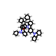 c1ccc(-n2c3ccccc3c3c(-n4c5ccc(-n6c7ccccc7c7ccccc76)cc5c5cccc([Si](c6ccccc6)(c6ccccc6)c6ccccc6)c54)cccc32)cc1